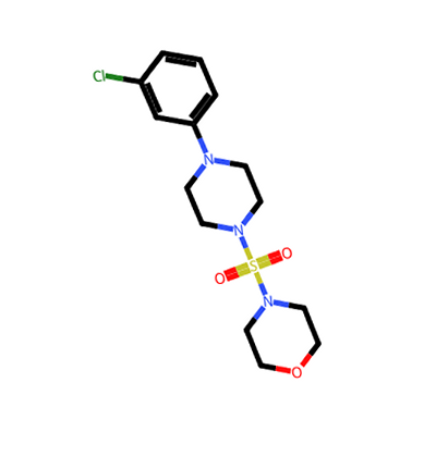 O=S(=O)(N1CCOCC1)N1CCN(c2cccc(Cl)c2)CC1